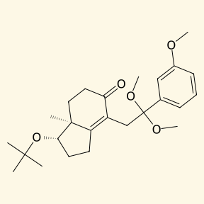 COc1cccc(C(CC2=C3CC[C@H](OC(C)(C)C)[C@@]3(C)CCC2=O)(OC)OC)c1